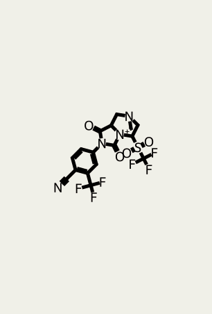 N#Cc1ccc(N2C(=O)C3CN4CC(S(=O)(=O)C(F)(F)F)[N+]3(C4)C2=O)cc1C(F)(F)F